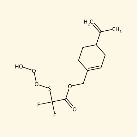 C=C(C)C1CC=C(COC(=O)C(F)(F)SOOO)CC1